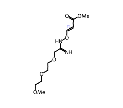 COCCOCCOCC(=N)NO/C=C/C(=O)OC